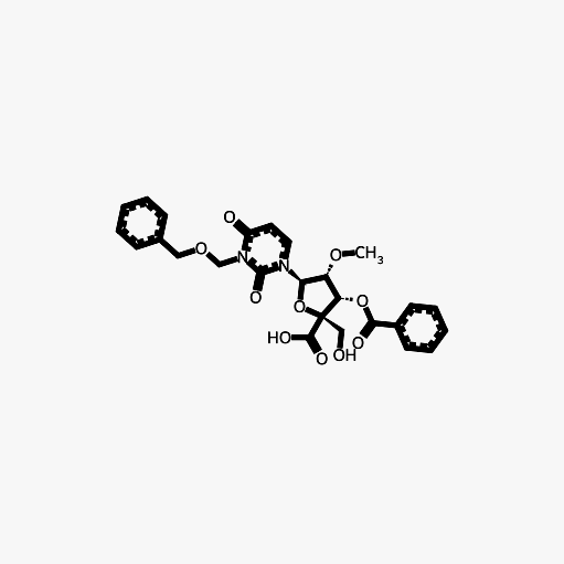 CO[C@H]1[C@H](n2ccc(=O)n(COCc3ccccc3)c2=O)O[C@@](CO)(C(=O)O)[C@H]1OC(=O)c1ccccc1